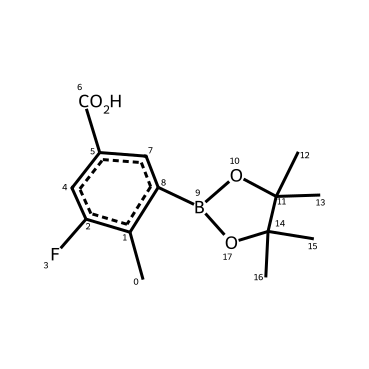 Cc1c(F)cc(C(=O)O)cc1B1OC(C)(C)C(C)(C)O1